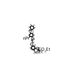 CCCc1cc(Oc2ccccc2)ccc1OCCOc1ccc2c(c1)OC(CC)(C(=O)OCC)CC2